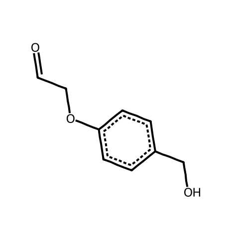 O=CCOc1ccc(CO)cc1